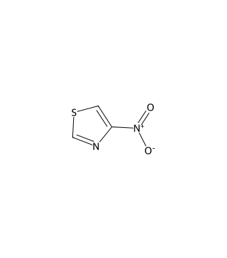 O=[N+]([O-])c1cscn1